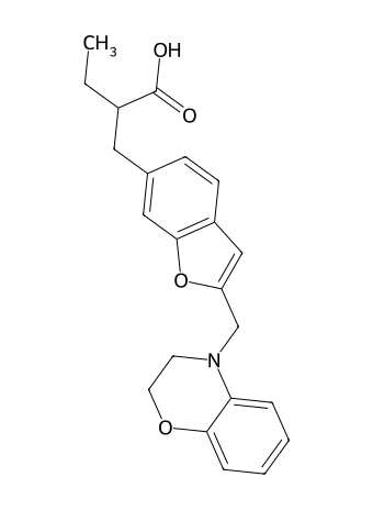 CCC(Cc1ccc2cc(CN3CCOc4ccccc43)oc2c1)C(=O)O